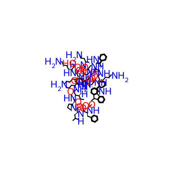 CC[C@H](C)[C@H](NC(=O)[C@@H](NC(=O)[C@@H]1CCCN1C(=O)[C@H](CC(C)C)NC(=O)[C@H](Cc1ccccc1)NC(=O)OCC1c2ccccc2-c2ccccc21)[C@@H](C)CC)C(=O)N[C@@H](CCCCN)C(=O)N[C@@H](Cc1c[nH]c2ccccc12)C(=O)N[C@@H](CCCCN)C(=O)N[C@@H](Cc1c[nH]c2ccccc12)C(=O)N[C@@H](CCCCN)C(=O)N[C@@H](Cc1c[nH]c2ccccc12)C(=O)N[C@@H](CCCCN)C(=O)N[C@@H](CCCCN)C(=O)O